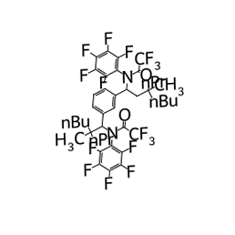 CCCCC(C)(CCC)CC(c1cccc(C(N(C(=O)C(F)(F)F)c2c(F)c(F)c(F)c(F)c2F)C(C)(CCC)CCCC)c1)N(C(=O)C(F)(F)F)c1c(F)c(F)c(F)c(F)c1F